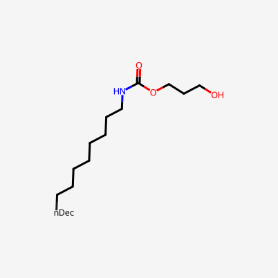 CCCCCCCCCCCCCCCCCCNC(=O)OCCCO